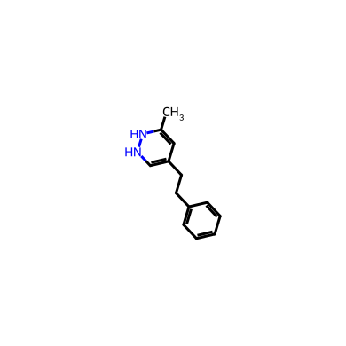 CC1=CC(CCc2ccccc2)=CNN1